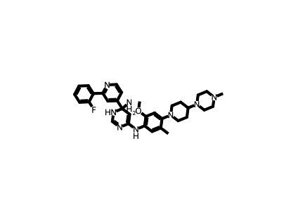 COc1cc(N2CCC(N3CCN(C)CC3)CC2)c(C)cc1NC1=CC(N)(c2ccnc(-c3ccccc3F)c2)NC=N1